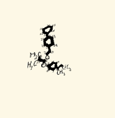 CCC(C)c1ccc(OC(OCCc2ccc(C3CCCCC3)cc2)C(C)C)cc1